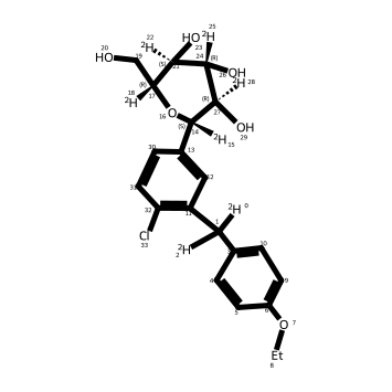 [2H]C([2H])(c1ccc(OCC)cc1)c1cc([C@]2([2H])O[C@]([2H])(CO)[C@@]([2H])(O)[C@]([2H])(O)[C@@]2([2H])O)ccc1Cl